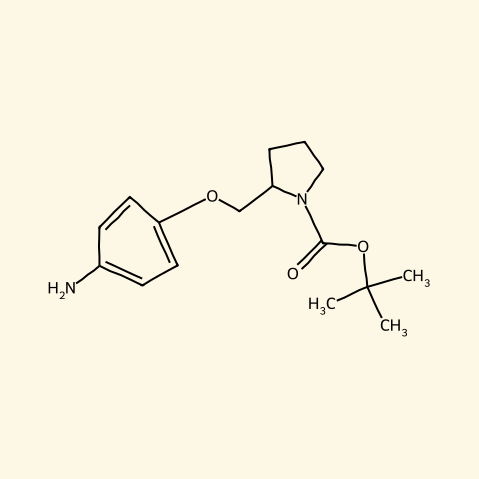 CC(C)(C)OC(=O)N1CCCC1COc1ccc(N)cc1